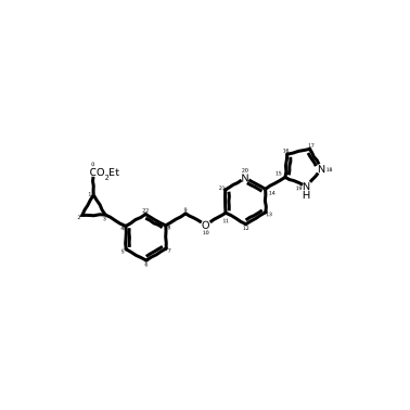 CCOC(=O)C1CC1c1cccc(COc2ccc(-c3ccn[nH]3)nc2)c1